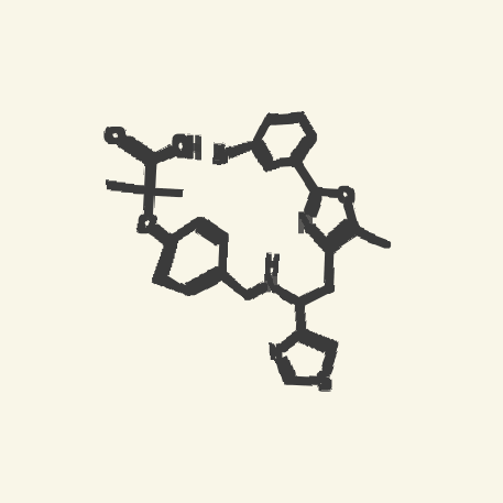 Cc1oc(-c2cccc(Br)c2)nc1CC(NCc1ccc(OC(C)(C)C(=O)O)cc1)c1cscn1